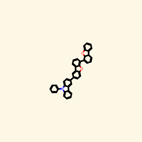 C1=CC2c3ccccc3OC2C(c2cccc3c2oc2ccc(-c4ccc5c(c4)c4ccccc4n5-c4ccccc4)cc23)=C1